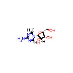 [2H]C1=NC(N)=NC(=C)N1[C@@H]1O[C@H](CO)[C@H](O)C1([2H])O